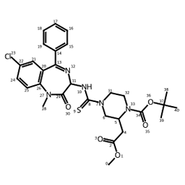 COC(=O)CC1CN(C(=S)NC2N=C(c3ccccc3)c3cc(Cl)ccc3N(C)C2=O)CCN1C(=O)OC(C)(C)C